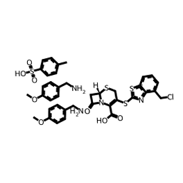 COc1ccc(CN)cc1.COc1ccc(CN)cc1.Cc1ccc(S(=O)(=O)O)cc1.O=C(O)C1=C(Sc2nc3c(CCl)cccc3s2)CS[C@H]2CC(=O)N12